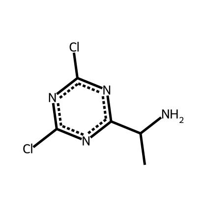 CC(N)c1nc(Cl)nc(Cl)n1